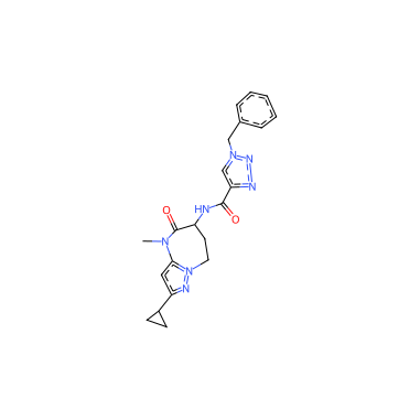 CN1C(=O)C(NC(=O)c2cn(Cc3ccccc3)nn2)CCn2nc(C3CC3)cc21